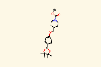 CC(C)(C)OC(=O)N1CCC(COc2ccc(B3OC(C)(C)C(C)(C)O3)cc2)CC1